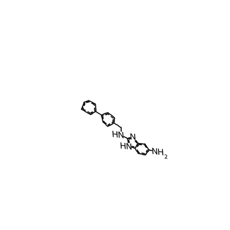 Nc1ccc2[nH]c(NCc3ccc(-c4ccccc4)cc3)nc2c1